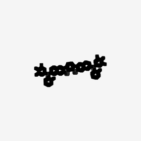 Cc1ccccc1N(c1cc(C)c(C)c(C)c1)c1ccc2cc3c(cc2c1)oc1c3ccc2c3cc4ccc(N(c5cc(C)c(C)c(C)c5)c5ccccc5C)cc4cc3oc21